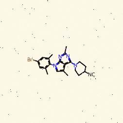 [C-]#[N+]C1CCN(c2nc(C)nc3c2c(C)cn3-c2c(C)cc(Br)cc2C)CC1